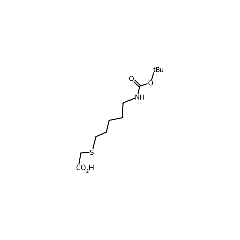 CC(C)(C)OC(=O)NCCCCCSCC(=O)O